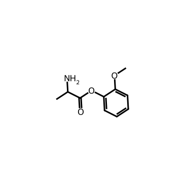 COc1ccccc1OC(=O)C(C)N